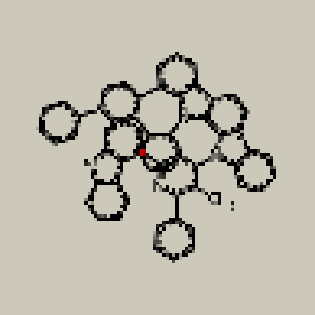 Cc1c(-c2ccccc2)nc(-c2cccc3sc4ccccc4c23)nc1-n1c2ccccc2c2ccc3c4cccc5c4n(c3c21)-c1ccccc1-c1cc(-c2ccccc2)ccc1-5